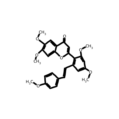 COc1ccc(C=Cc2cc(OC)cc(OC)c2-c2cc(=O)c3cc(OC)c(OC)cc3o2)cc1